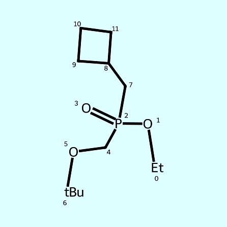 CCOP(=O)(COC(C)(C)C)CC1CCC1